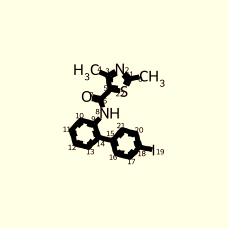 Cc1nc(C)c(C(=O)Nc2ccccc2-c2ccc(I)cc2)s1